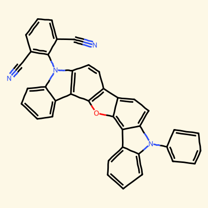 N#Cc1cccc(C#N)c1-n1c2ccccc2c2c3oc4c(ccc5c4c4ccccc4n5-c4ccccc4)c3ccc21